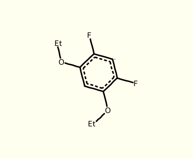 CCOc1cc(OCC)c(F)[c]c1F